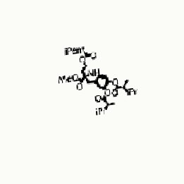 CCCC(C)C(=O)OCC[C@@](N)(Cc1ccc(OC(=O)C(C)C(C)C)c(OC(=O)C(C)C(C)C)c1)C(=O)OC